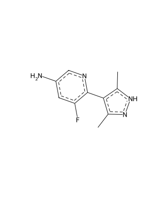 Cc1n[nH]c(C)c1-c1ncc(N)cc1F